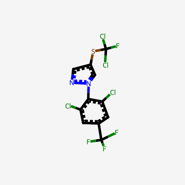 FC(Cl)(Cl)Sc1cnn(-c2c(Cl)cc(C(F)(F)F)cc2Cl)c1